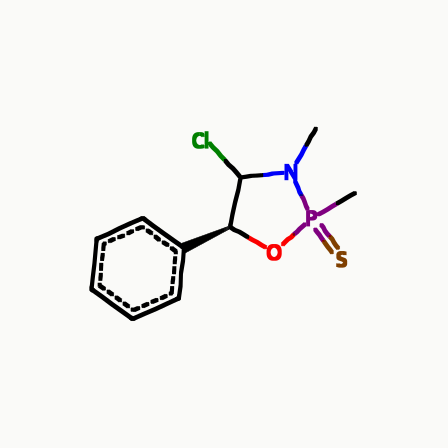 CN1C(Cl)[C@H](c2ccccc2)OP1(C)=S